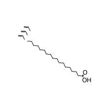 C=CC.C=CC.C=CC.CCCCCCCCCCCCCCCCCC(=O)O